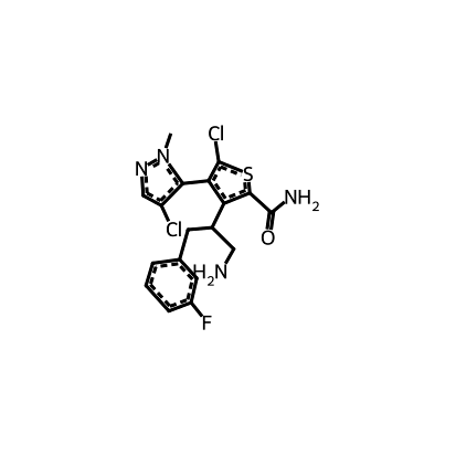 Cn1ncc(Cl)c1-c1c(Cl)sc(C(N)=O)c1C(CN)Cc1cccc(F)c1